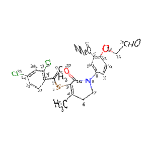 C=C(SC1=C(C)CCN(c2ccc(OCC=O)c(OC)c2)C1=O)c1ccc(Cl)cc1Cl